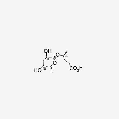 C[C@@H](CCC(=O)O)O[C@H]1O[C@H](C)[C@@H](O)C[C@H]1O